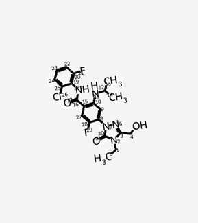 CCn1c(CO)nn(-c2cc(NC(C)C)c(C(=O)Nc3c(F)cccc3Cl)cc2F)c1=O